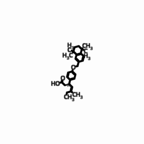 CCC(C)=C[C@@H](CC(=O)O)c1ccc(OCc2ccc3c(c2)C(C)(C)CCC3(C)C)cc1